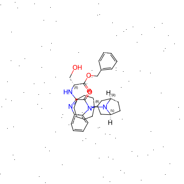 O=C(OCc1ccccc1)[C@@H](CO)Nc1nc2ccccc2n([C@H]2C[C@H]3CC[C@@H](C2)N3C2CCCCCCC2)c1=O